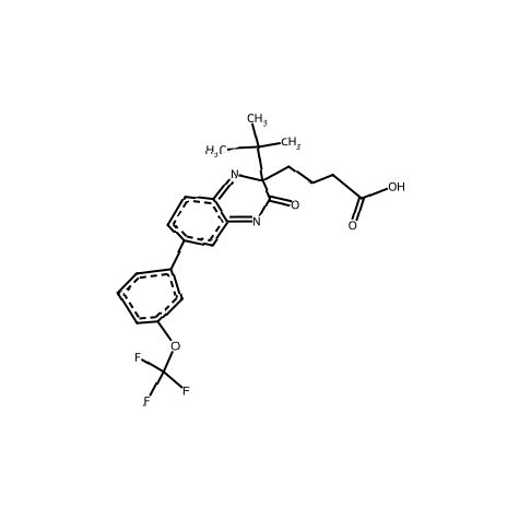 CC(C)(C)C1(CCCC(=O)O)N=c2ccc(-c3cccc(OC(F)(F)F)c3)cc2=NC1=O